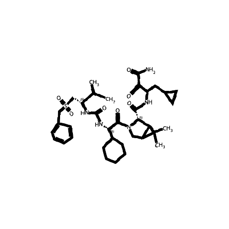 CC(C)[C@@H](CS(=O)(=O)Cc1ccccc1)NC(=O)N[C@H](C(=O)N1CC2C([C@H]1C(=O)NC(CC1CC1)C(=O)C(N)=O)C2(C)C)C1CCCCC1